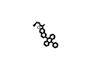 C#C/C=C\c1oc2cc3ccc(-c4c5ccccc5c(-c5ccccc5)c5ccccc45)cc3cc2c1C